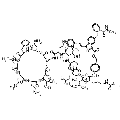 CNC(=O)c1ccccc1Sc1ccc2c(/C=C/c3ccccn3)nn(C(=O)OCc3ccc(NC(=O)[C@H](CCCNC(N)=O)NC(=O)[C@@H](NC(=O)[C@H](CCC(=O)O)NC(=O)CCC(=O)N[C@H](C(=O)N[C@@H](CCN)C(=O)NC4C5CNC(=O)[C@H]([C@@H](C)O)NC(=O)[C@H](CCN)NC(=O)[C@H](CCN)NC(=O)[C@H](CC(C)C)NC(=O)[C@@H](Cc6ccccc6)NC(=O)[C@H](CCN)NC(=O)C54)[C@@H](C)O)C(C)C)cc3)c2c1